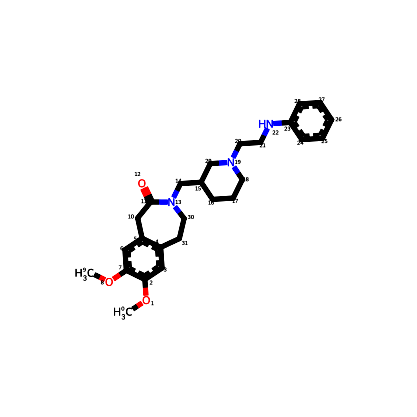 COc1cc2c(cc1OC)CC(=O)N(CC1CCCN(CCNc3ccccc3)C1)CC2